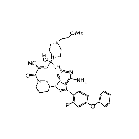 COCCN1CCN(C(C)(C)C=C(C#N)C(=O)N2CCC[C@H](n3nc(-c4ccc(Oc5ccccc5)cc4F)c4c(N)ncnc43)C2)CC1